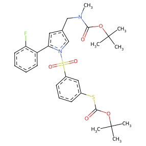 CN(Cc1cc(-c2ccccc2F)n(S(=O)(=O)c2cccc(SC(=O)OC(C)(C)C)c2)c1)C(=O)OC(C)(C)C